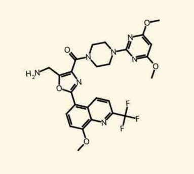 COc1cc(OC)nc(N2CCN(C(=O)c3nc(-c4ccc(OC)c5nc(C(F)(F)F)ccc45)oc3CN)CC2)n1